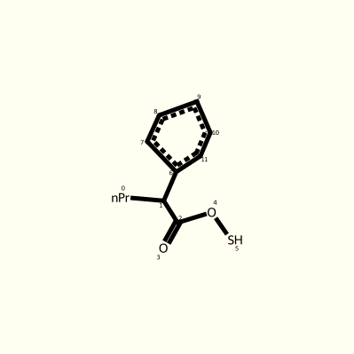 CCCC(C(=O)OS)c1ccccc1